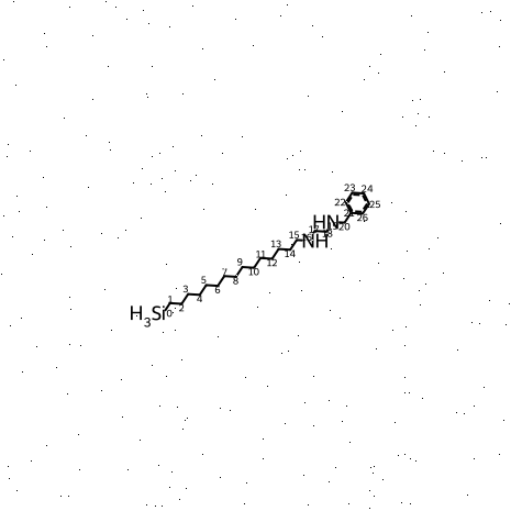 [SiH3]CCCCCCCCCCCCCCCNCCNCc1ccccc1